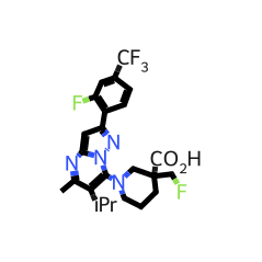 Cc1nc2cc(-c3ccc(C(F)(F)F)cc3F)nn2c(N2CCCC(CF)(C(=O)O)C2)c1C(C)C